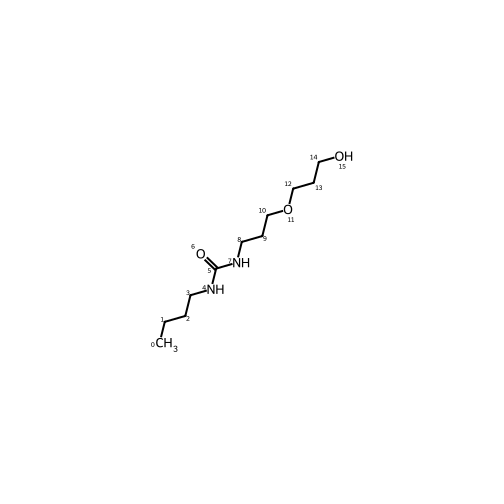 CCCCNC(=O)NCCCOCCCO